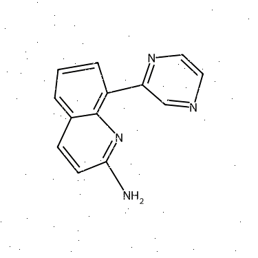 Nc1ccc2cccc(-c3cnccn3)c2n1